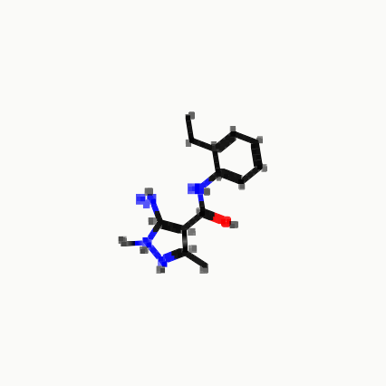 CCc1ccccc1NC(=O)c1c(C)nn(C)c1N